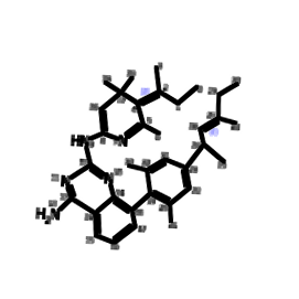 CC/C(C)=C1\C(C)=NC(Nc2nc(N)c3cccc(-c4c(C)cc(C(C)/C=C(\C)CC)cc4C)c3n2)=CC1(C)C